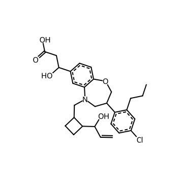 C=CC(O)C1CCC1CN1CC(c2ccc(Cl)cc2CCC)COc2ccc(C(O)CC(=O)O)cc21